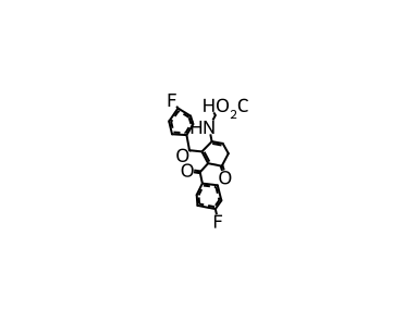 O=C(O)CNC1=CCC(=O)C(C(=O)c2ccc(F)cc2)=C1C(=O)c1ccc(F)cc1